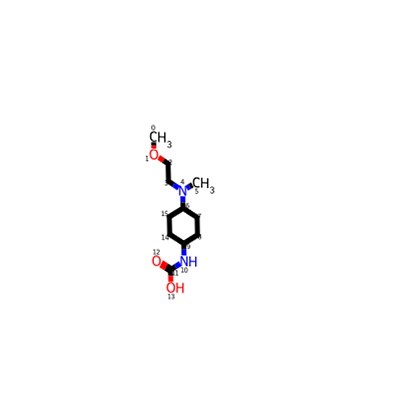 COCCN(C)C1CCC(NC(=O)O)CC1